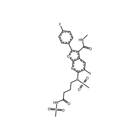 CNC(=O)c1c(-c2ccc(F)cc2)oc2nc(N(CCCC(=O)NS(C)(=O)=O)S(C)(=O)=O)c(I)cc12